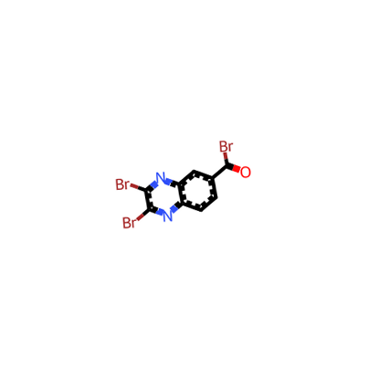 O=C(Br)c1ccc2nc(Br)c(Br)nc2c1